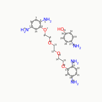 Nc1ccc(N)c(OCCOCCOCCOc2cc(N)ccc2N)c1.Nc1ccc(O)cc1